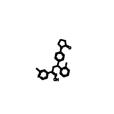 Cc1cc(/C(CC(c2ccc(N3CCCC3=O)cc2)c2ccccc2C)=N\O)ccn1